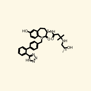 C[C@@H](O)CNC(C)(C)CC(=O)N[C@@H]1CCc2cc(O)ccc2N(Cc2ccc(-c3ccccc3-c3nnn[nH]3)cc2)C1=O